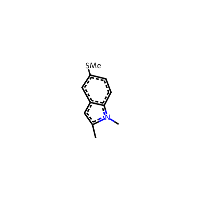 CSc1ccc2c(c1)cc(C)n2C